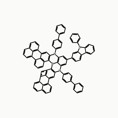 c1ccc(-c2ccc(N3c4cc(-c5ccc6c7ccccc7n(-c7ccccc7)c6c5)cc5c4B(c4c3cc3c6cccc7cccc(c8cccc4c83)c76)c3c(cc4c6cccc7cccc(c8cccc3c84)c76)N5c3ccc(-c4ccccc4)cc3)cc2)cc1